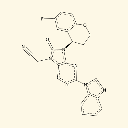 N#CCn1c(=O)n([C@@H]2CCOc3ccc(F)cc32)c2nc(-n3cnc4ccccc43)ncc21